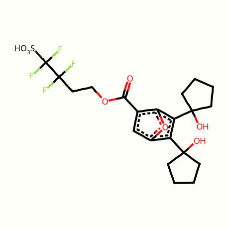 O=C(OCCC(F)(F)C(F)(F)S(=O)(=O)O)c1cc2oc1c(C1(O)CCCC1)c2C1(O)CCCC1